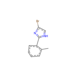 Cc1ccccc1-c1nc(Br)c[nH]1